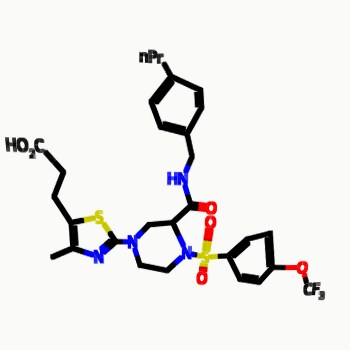 CCCc1ccc(CNC(=O)C2CN(c3nc(C)c(CCC(=O)O)s3)CCN2S(=O)(=O)c2ccc(OC(F)(F)F)cc2)cc1